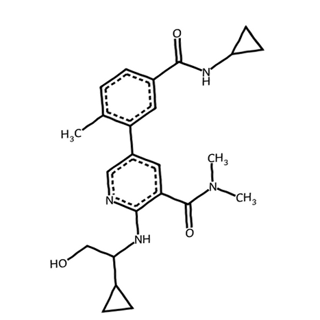 Cc1ccc(C(=O)NC2CC2)cc1-c1cnc(NC(CO)C2CC2)c(C(=O)N(C)C)c1